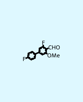 COc1cc(-c2ccc(F)cc2)cc(F)c1C=O